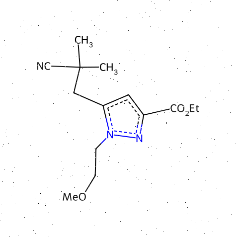 CCOC(=O)c1cc(CC(C)(C)C#N)n(CCOC)n1